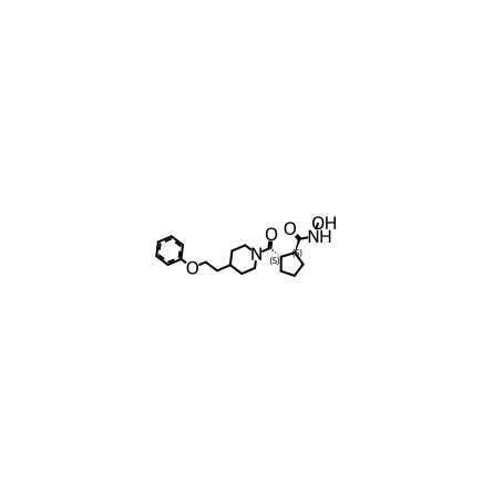 O=C(NO)[C@H]1CCC[C@@H]1C(=O)N1CCC(CCOc2ccccc2)CC1